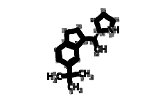 CC(C)(C)c1ccc2c(c1)C(C(O)[C@@H]1CCCN1)CC2